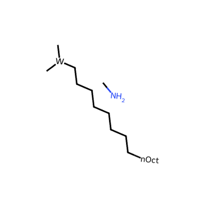 CCCCCCCCCCCCCCC[CH2][W]([CH3])[CH3].CN